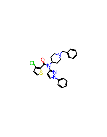 O=C(c1sccc1Cl)N(c1ccn(-c2ccccc2)n1)C1CCN(Cc2ccccc2)CC1